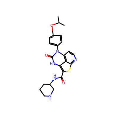 CC(C)Oc1ccc(N2C(=O)Nc3c(C(=O)N[C@@H]4CCCNC4)sc4nccc2c34)cc1